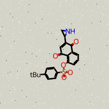 CC(C)(C)c1ccc(S(=O)(=O)Oc2cccc3c2C(=O)C=C(C2CN2)C3=O)cc1